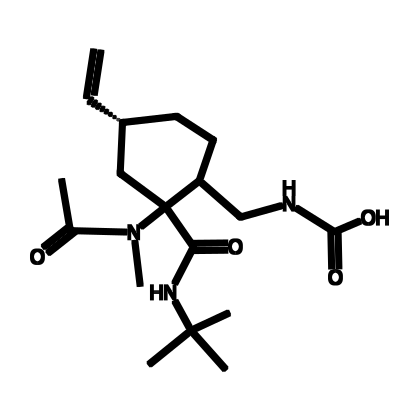 C=C[C@@H]1CCC(CNC(=O)O)C(C(=O)NC(C)(C)C)(N(C)C(C)=O)C1